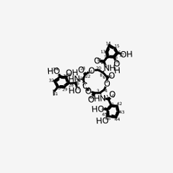 O=C(N[C@H]1COC(=O)[C@@H](NC(=O)c2cccc(O)c2O)COC(=O)[C@@H](NC(O)c2cc(I)cc(O)c2O)COC1=O)c1cccc(O)c1O